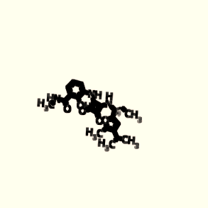 CC[C@@H](Nc1c(Nc2cccc(C(=O)NC)c2O)c(=O)c1=O)c1cc(C(C)C)c(C)o1